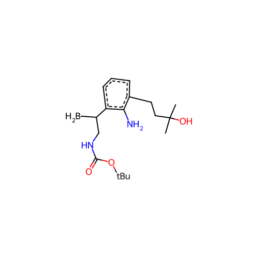 BC(CNC(=O)OC(C)(C)C)c1cccc(CCC(C)(C)O)c1N